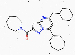 O=C(c1cc2nc(CC3CCCCC3)cc(C3=CCCCCC3)n2n1)N1CCCCCC1